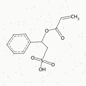 C=CC(=O)OC(CS(=O)(=O)O)c1ccccc1